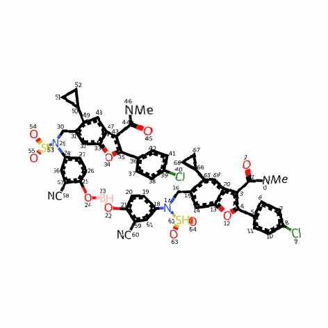 CNC(=O)c1c(-c2ccc(Cl)cc2)oc2cc(CN(c3ccc(OBOc4ccc(N(Cc5cc6oc(-c7ccc(Cl)cc7)c(C(=O)NC)c6cc5C5CC5)[SH](=O)=O)cc4C#N)c(C#N)c3)[SH](=O)=O)c(C3CC3)cc12